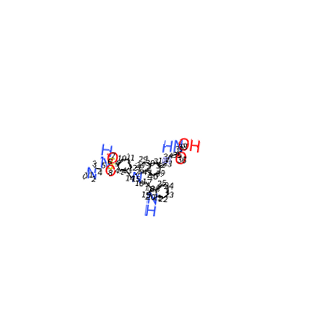 CN(C)CCNS(=O)(=O)c1cccc(CN(CCc2c[nH]c3ccccc23)C2CCc3cc(/C=C/C(=O)NO)ccc32)c1